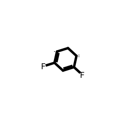 FC1=[C]C[C]C(F)=C1